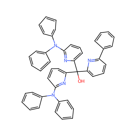 OC(c1cccc(-c2ccccc2)n1)(c1cccc(N(c2ccccc2)c2ccccc2)n1)c1cccc(N(c2ccccc2)c2ccccc2)n1